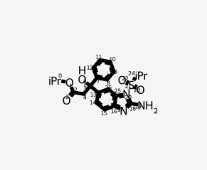 CC(C)OC(=O)CC(O)(c1ccccc1)c1ccc2nc(N)n(S(=O)(=O)C(C)C)c2c1